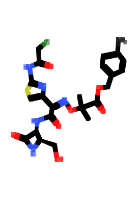 CC(C)(ON=C(C(=O)N[C@@H]1C(=O)N[C@@H]1CO)c1csc(NC(=O)CCl)n1)C(=O)OCc1ccc([N+](=O)[O-])cc1